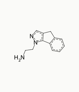 NCCn1ncc2c1-c1ccccc1C2